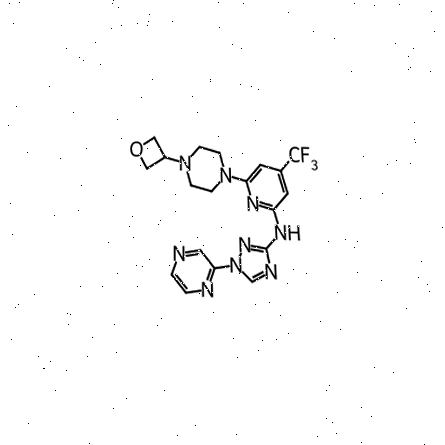 FC(F)(F)c1cc(Nc2ncn(-c3cnccn3)n2)nc(N2CCN(C3COC3)CC2)c1